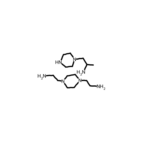 CC(N)CN1CCNCC1.NCCN1CCN(CCN)CC1